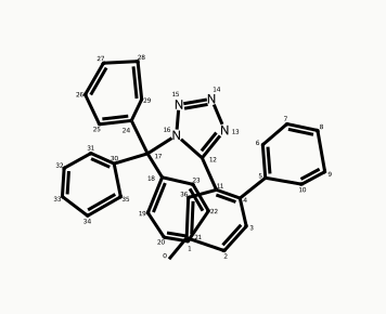 Cc1ccc(-c2ccccc2)c(-c2nnnn2C(c2ccccc2)(c2ccccc2)c2ccccc2)c1